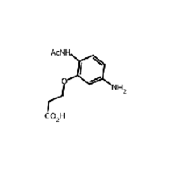 CC(=O)Nc1ccc(N)cc1OCCC(=O)O